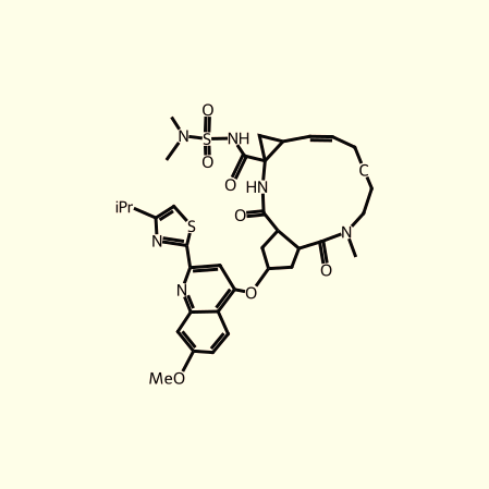 COc1ccc2c(OC3CC4C(=O)NC5(C(=O)NS(=O)(=O)N(C)C)CC5/C=C\CCCCN(C)C(=O)C4C3)cc(-c3nc(C(C)C)cs3)nc2c1